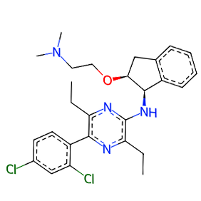 CCc1nc(-c2ccc(Cl)cc2Cl)c(CC)nc1N[C@@H]1c2ccccc2C[C@@H]1OCCN(C)C